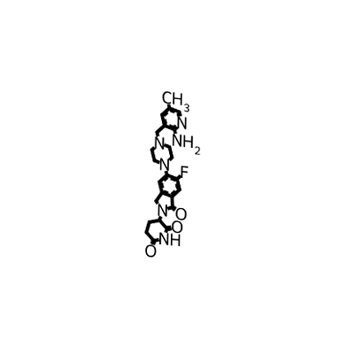 Cc1cnc(N)c(CN2CCN(c3cc4c(cc3F)C(=O)N(C3CCC(=O)NC3=O)C4)CC2)c1